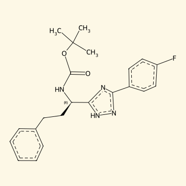 CC(C)(C)OC(=O)N[C@H](CCc1ccccc1)c1nc(-c2ccc(F)cc2)n[nH]1